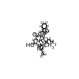 CC(C)(C)[C@@H](C(=O)N1C[C@H](O)C[C@H]1C(=O)NCc1noc2ccccc12)n1cc(C2CC2)nn1